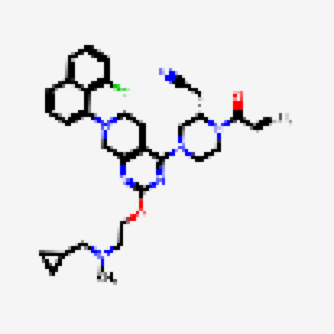 C=CC(=O)N1CCN(c2nc(OCCN(C)CC3CC3)nc3c2CCN(c2cccc4cccc(Cl)c24)C3)C[C@@H]1CC#N